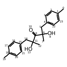 Cc1ccc(CC(C)(O)C(=O)C(C)(O)Cc2ccc(C)cc2)cc1